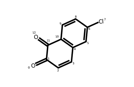 O=C1C=Cc2cc(Cl)ccc2C1=O